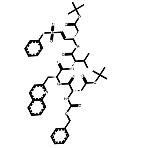 CC(C)[C@H](NC(=O)[C@H](Cc1ccc2ccccc2n1)NC(=O)[C@H](CC(=O)OC(C)(C)C)NC(=O)OCc1ccccc1)C(=O)N[C@H](/C=C/S(=O)(=O)Oc1ccccc1)CC(=O)OC(C)(C)C